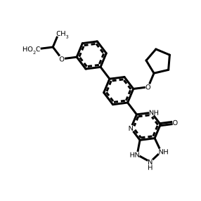 CC(Oc1cccc(-c2ccc(-c3nc4c(c(=O)[nH]3)NNN4)c(OC3CCCC3)c2)c1)C(=O)O